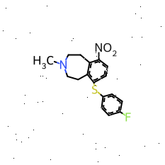 CN1CCc2c(Sc3ccc(F)cc3)ccc([N+](=O)[O-])c2CC1